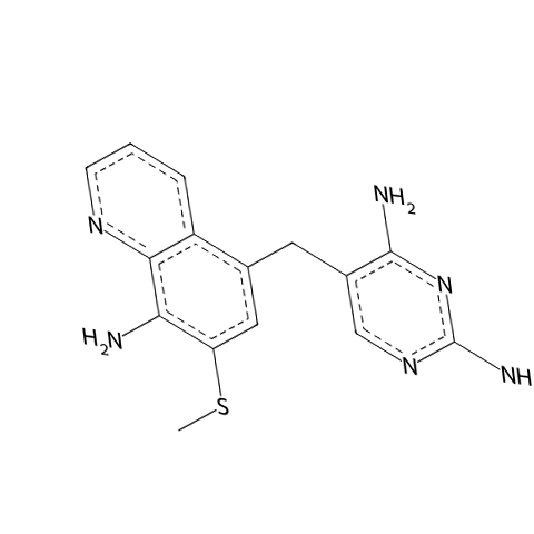 CSc1cc(Cc2cnc(N)nc2N)c2cccnc2c1N